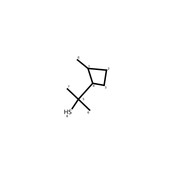 CC1CCC1C(C)(C)S